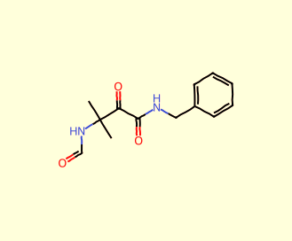 CC(C)(NC=O)C(=O)C(=O)NCc1ccccc1